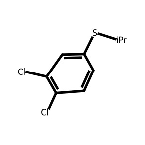 CC(C)Sc1ccc(Cl)c(Cl)c1